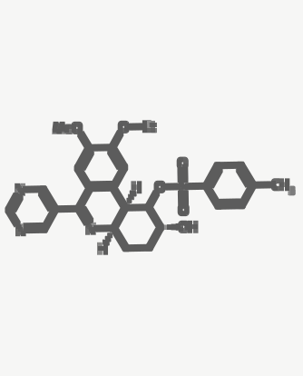 CCOc1cc2c(cc1OC)C(c1cncnc1)=N[C@@H]1CC[C@@H](O)C(OS(=O)(=O)c3ccc(C)cc3)[C@H]21